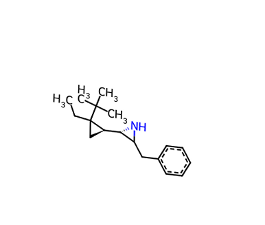 CCC1(C(C)(C)C)C[C@@H]1[C@@H]1NC1Cc1ccccc1